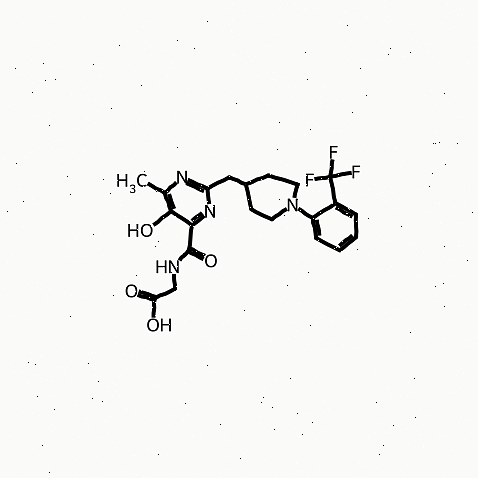 Cc1nc(CC2CCN(c3ccccc3C(F)(F)F)CC2)nc(C(=O)NCC(=O)O)c1O